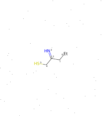 CCCC(=N)CS